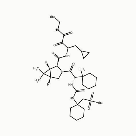 CC(C)(C)CNC(=O)C(=O)C(CC1CC1)NC(=O)[C@@H]1[C@@H]2[C@H](CN1C(=O)[C@@H](NC(=O)NC1(CS(=O)(=O)C(C)(C)C)CCCCC1)C1(C)CCCCC1)C2(C)C